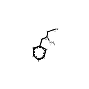 CC(C)C[C@@H](N)Cc1ccccc1